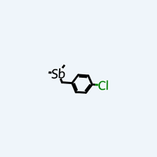 [CH3][Sb]([CH3])[CH2]c1ccc(Cl)cc1